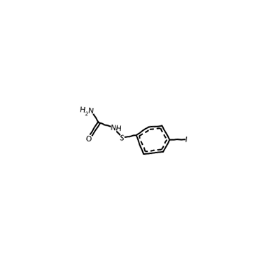 NC(=O)NSc1ccc(I)cc1